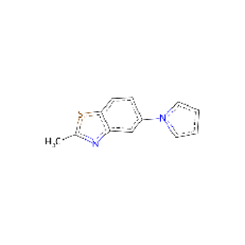 Cc1nc2cc(-n3cccc3)ccc2s1